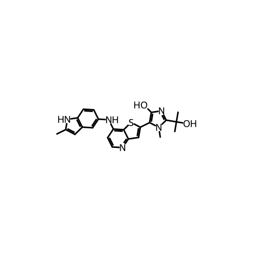 Cc1cc2cc(Nc3ccnc4cc(-c5c(O)nc(C(C)(C)O)n5C)sc34)ccc2[nH]1